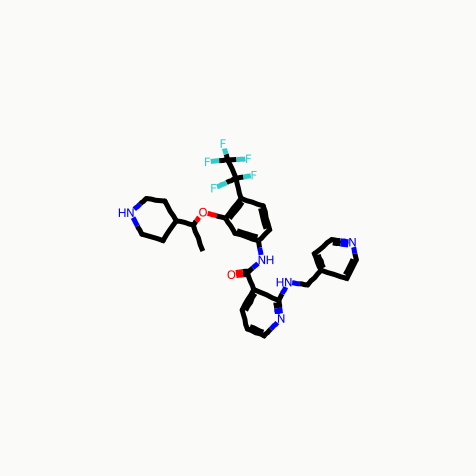 CC(Oc1cc(NC(=O)c2cccnc2NCc2ccncc2)ccc1C(F)(F)C(F)(F)F)C1CCNCC1